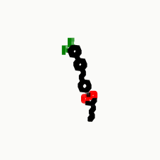 C=CCC[C@H]1CO[C@H](C2CCC(CCc3ccc(-c4ccc(F)c(F)c4)cc3)CC2)OC1